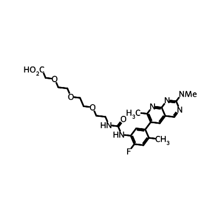 CNc1ncc2cc(-c3cc(NC(=O)NCCOCCOCCOCC(=O)O)c(F)cc3C)c(C)nc2n1